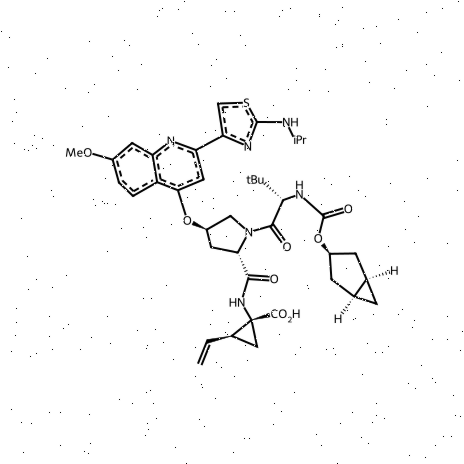 C=C[C@@H]1C[C@]1(NC(=O)[C@@H]1C[C@@H](Oc2cc(-c3csc(NC(C)C)n3)nc3cc(OC)ccc23)CN1C(=O)[C@@H](NC(=O)O[C@@H]1C[C@@H]2C[C@@H]2C1)C(C)(C)C)C(=O)O